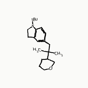 CC(C)(Cc1ccc2c(c1)CCN2C(C)(C)C)C1CCCOC1